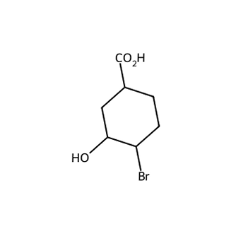 O=C(O)C1CCC(Br)C(O)C1